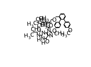 COc1ccc(-c2cccc(COC[C@H]3O[C@@H](n4cnc5c(=O)[nH]c(NC(=O)C(C)C)nc54)[CH][C@H]3O[Si](C)(C)C(C)(C)C)c2-c2ccc(OC)cc2)cc1